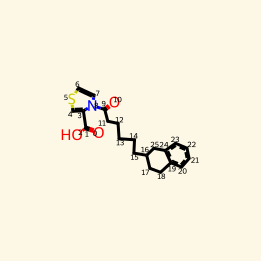 O=C(O)C1=CSC=CN1C(=O)CCCCCC1CCc2ccccc2C1